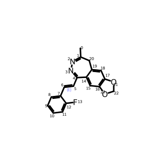 CC1=NN=C(/C=C/c2ccccc2F)c2cc3c(cc2C1)OCO3